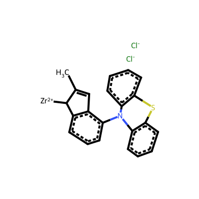 CC1=Cc2c(cccc2N2c3ccccc3Sc3ccccc32)[CH]1[Zr+2].[Cl-].[Cl-]